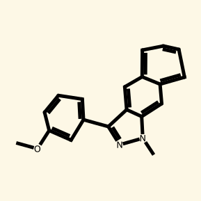 COc1cccc(-c2nn(C)c3cc4ccccc4cc23)c1